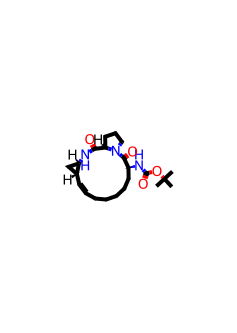 CC(C)(C)OC(=O)N[C@H]1CCCCC/C=C\[C@@H]2C[C@H]2NC(=O)[C@@H]2CCCN2C1=O